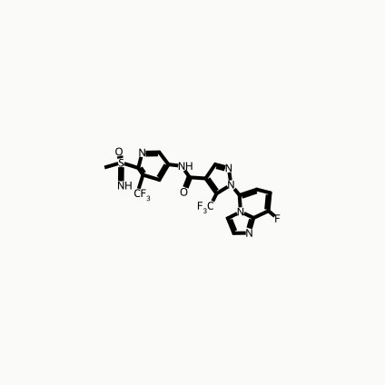 CS(=N)(=O)c1ncc(NC(=O)c2cnn(-c3ccc(F)c4nccn34)c2C(F)(F)F)cc1C(F)(F)F